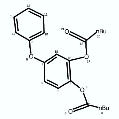 CCCCC(=O)Oc1ccc(Oc2ccccc2)cc1OC(=O)CCCC